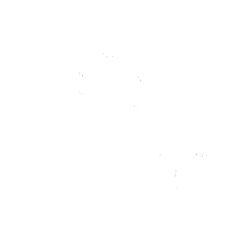 NS(=O)(=O)N(CC(F)F)C1CCN(c2ncnc3c2cnn3C2CCC(O)CC2)CC1